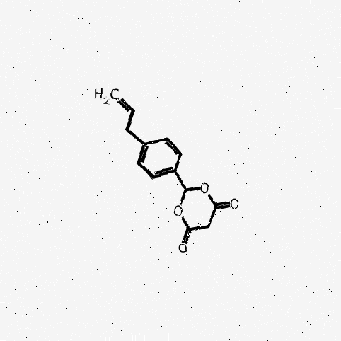 C=CCc1ccc(C2OC(=O)CC(=O)O2)cc1